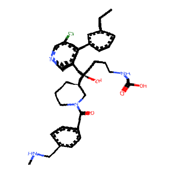 CCc1cccc(-c2c(Cl)cncc2[C@](O)(CCCNC(=O)O)[C@@H]2CCCN(C(=O)c3ccc(CNC)cc3)C2)c1